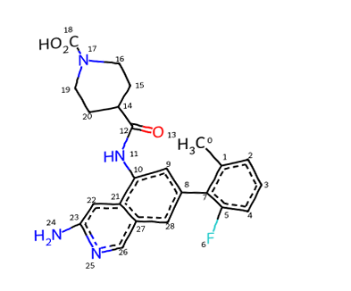 Cc1cccc(F)c1-c1cc(NC(=O)C2CCN(C(=O)O)CC2)c2cc(N)ncc2c1